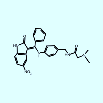 CN(C)CC(=O)NCc1ccc(NC(=C2C(=O)Nc3ccc([N+](=O)[O-])cc32)c2ccccc2)cc1